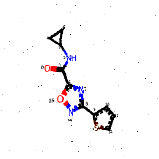 O=C(NC1CC1)c1nc(-c2cccs2)no1